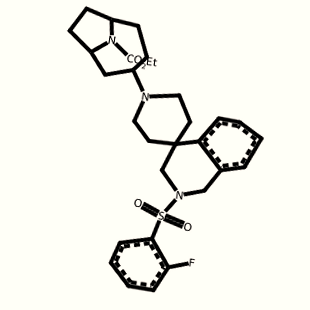 CCOC(=O)N1C2CCC(N3CCC4(CC3)CN(S(=O)(=O)c3ccccc3F)Cc3ccccc34)CC1CC2